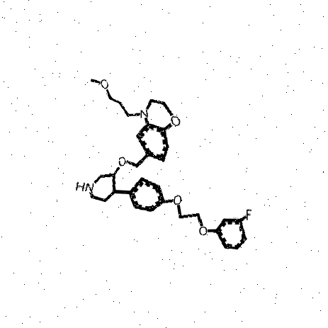 COCCCN1CCOc2ccc(COC3CNCCC3c3ccc(OCCOc4cccc(F)c4)cc3)cc21